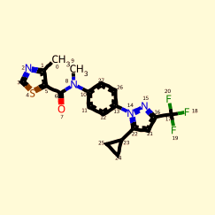 Cc1ncsc1C(=O)N(C)c1ccc(-n2nc(C(F)(F)F)cc2C2CC2)cc1